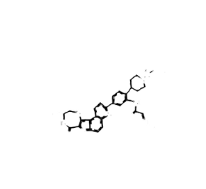 C=CC(=O)Nc1cc(-c2ccc3c(ccc4sc5c(c43)NC[C@@H](C)NC5=O)n2)ccc1C1CCN(S(C)(=O)=O)CC1